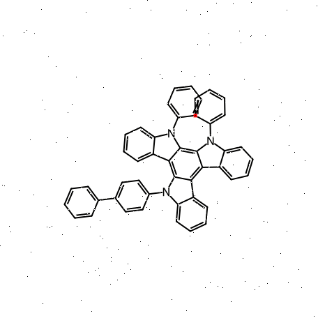 c1ccc(-c2ccc(-n3c4ccccc4c4c5c6ccccc6n(-c6ccccc6)c5c5c(c6ccccc6n5-c5ccccc5)c43)cc2)cc1